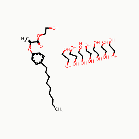 C=C(Oc1ccc(CCCCCCCCC)cc1)C(=O)OCCO.OCCO.OCCO.OCCO.OCCO.OCCO.OCCO.OCCO